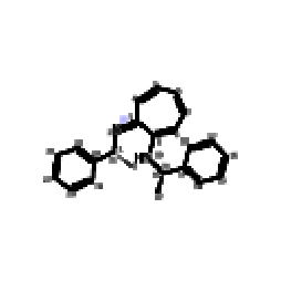 C[C@@H](/N=c1/cccccc1N[C@H](C)c1ccccc1)c1ccccc1